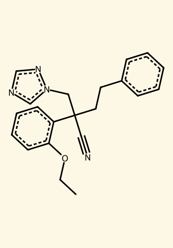 CCOc1ccccc1C(C#N)(CCc1ccccc1)Cn1cncn1